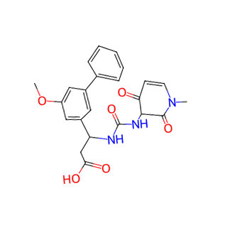 COc1cc(-c2ccccc2)cc(C(CC(=O)O)NC(=O)NC2C(=O)C=CN(C)C2=O)c1